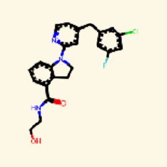 O=C(NCCO)c1cccc2c1CCN2c1cc(Cc2cc(F)cc(Cl)c2)ccn1